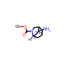 CC(C)(C)OC(=O)N1CC2CCC[C@H]1C[C@H]2N